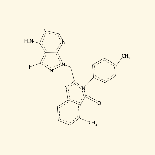 Cc1ccc(-n2c(Cn3nc(I)c4c(N)ncnc43)nc3cccc(C)c3c2=O)cc1